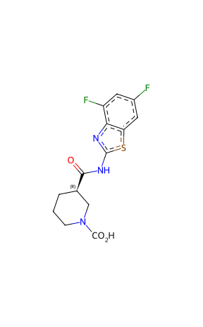 O=C(Nc1nc2c(F)cc(F)cc2s1)[C@@H]1CCCN(C(=O)O)C1